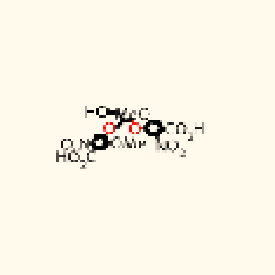 C#CCC(COc1cc([N+](=O)[O-])c(C(=O)O)cc1OC)COc1cc([N+](=O)[O-])c(C(=O)O)cc1OC